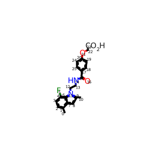 Cc1ccc(F)c2c1cc(C)n2CCNC(=O)c1ccc(OCC(=O)O)cc1